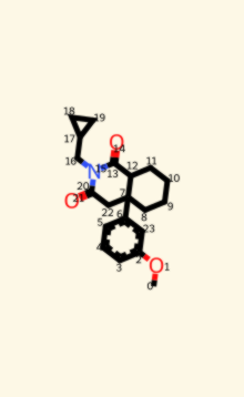 COc1cccc(C23CCCCC2C(=O)N(CC2CC2)C(=O)C3)c1